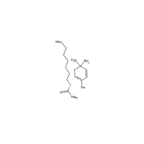 CCCCCCCCCCCCCCCCCC(=O)OC.O=[N+]([O-])C1([N+](=O)[O-])C=CC(O)=CC1